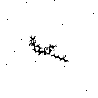 CCC(=O)CCCCC[C@H](NC(=O)C1CC12CCN(C(=O)OC(C)(C)C)CC2)c1ncc(Br)o1